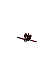 CC#Cc1c2c(c(C#Cc3cc(OCCCCCCCCCCCCCC)c(C)cc3OCCCCCCCCCCCCCC)c3c1C1c4ccccc4C14c1ccccc1C34)C1c3ccccc3C13c1ccccc1C23